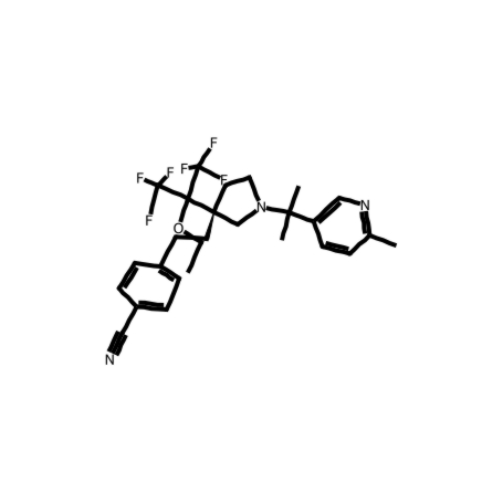 CCOC(C(F)(F)F)(C(F)(F)F)[C@]1(CCc2ccc(C#N)cc2)CCN(C(C)(C)c2ccc(C)nc2)C1